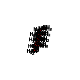 COc1ccc(NC(=O)[C@@H](CCCNC(=N)N)NC(=O)c2cc(NC(=O)[C@@H](CCCNC(=N)N)NC(=O)c3cc(NC(=O)[C@@H](CCCNC(=N)N)NC(=O)c4cc(NC(=O)[C@H](N)CCCNC(=N)N)ccc4OC)ccc3OC)ccc2OCC(=O)O)cc1C(N)=O